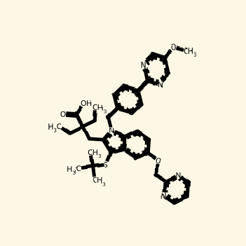 CCC(CC)(Cc1c(SC(C)(C)C)c2cc(OCc3ncccn3)ccc2n1Cc1ccc(-c2ncc(OC)cn2)cc1)C(=O)O